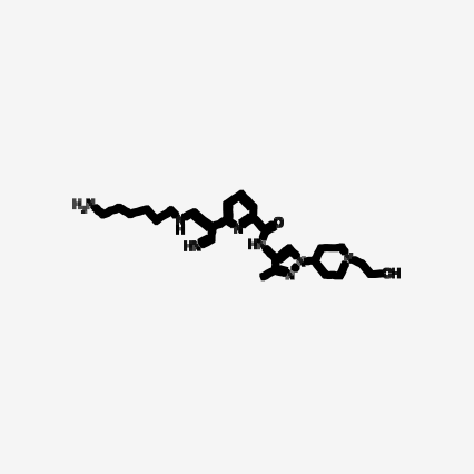 Cc1nn(C2CCN(CCO)CC2)cc1NC(=O)c1cccc(/C(C=N)=C/NCCCCCCN)n1